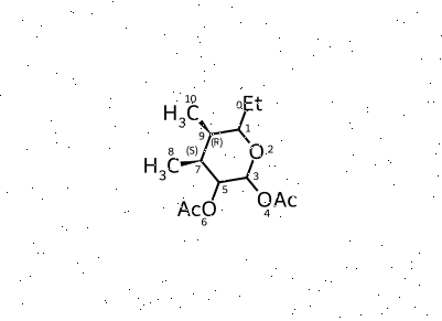 CCC1OC(OC(C)=O)C(OC(C)=O)[C@@H](C)[C@H]1C